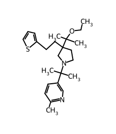 CCOC(C)(C)C1(CCc2cccs2)CCN(C(C)(C)c2ccc(C)nc2)C1